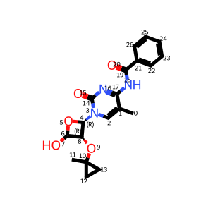 Cc1cn([C@@H]2OC(O)[C@@H]2OC2(C)CC2)c(=O)nc1NC(=O)c1ccccc1